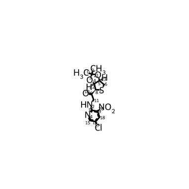 CC1(C)O[C@@H]2[C@@H](CS[C@H]2C(=O)CNc2ncc(Cl)cc2[N+](=O)[O-])O1